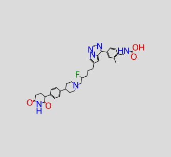 Cc1cc(-c2ncnn3cc(CCCC(F)CN4CCC(c5ccc(C6CCC(=O)NC6=O)cc5)CC4)cc23)ccc1CNC(=O)O